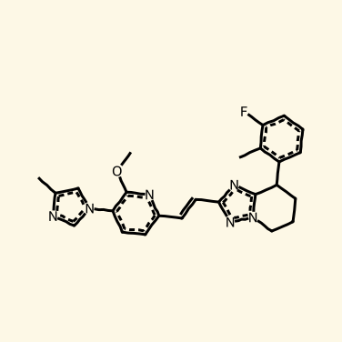 COc1nc(/C=C/c2nc3n(n2)CCCC3c2cccc(F)c2C)ccc1-n1cnc(C)c1